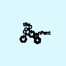 CCCCCn1c2c(c3ccccc31)C[C@H](C(=O)N1CCCCC1)N(C(=O)OC(C)(C)C)C2